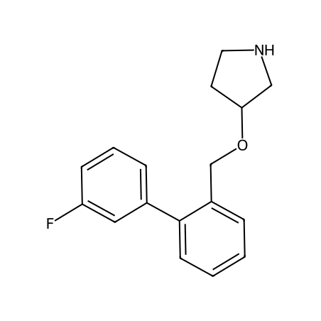 Fc1cccc(-c2ccccc2COC2CCNC2)c1